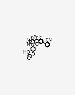 CCCc1c(Cc2ccc(-c3ccccc3C#N)cc2F)c(=O)n(C2CCC(O[C@@H]3COC[C@H]3O)CC2)c2ncnn12